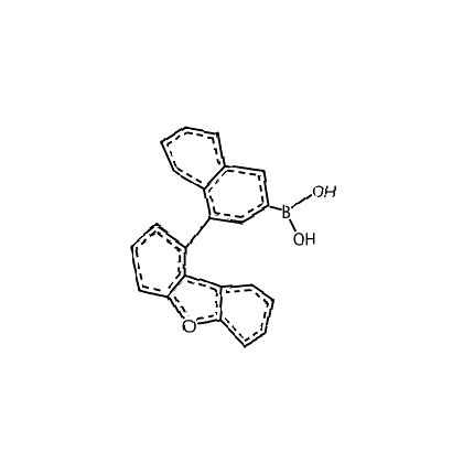 OB(O)c1cc(-c2cccc3oc4ccccc4c23)c2ccccc2c1